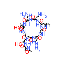 Cc1nc(C(=O)N[C@H](CO)C(=O)N[C@H]2CCNC(=O)[C@H]([C@@H](C)O)NC(=O)[C@H](CCN)NC(=O)[C@H](CCN)NC(=O)[C@H](CC(C)C)NC(=O)CNC(=O)[C@H](CCN)NC2=O)co1